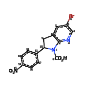 O=C(O)N1c2ncc(Br)cc2CC1c1ccc([N+](=O)[O-])cc1